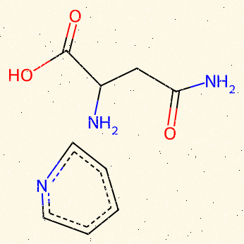 NC(=O)CC(N)C(=O)O.c1ccncc1